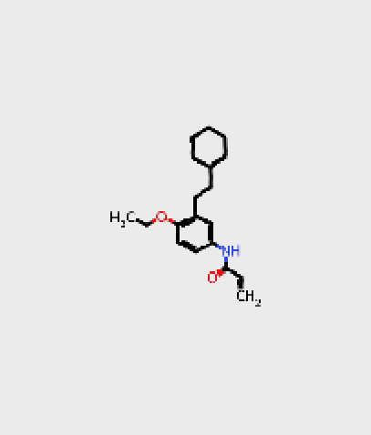 C=CC(=O)Nc1ccc(OCC)c(CCC2CCCCC2)c1